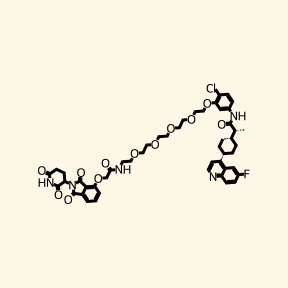 C[C@@H](C(=O)Nc1ccc(Cl)c(OCCOCCOCCOCCOCCNC(=O)COc2cccc3c2C(=O)N(C2CCC(=O)NC2=O)C3=O)c1)[C@H]1CC[C@@H](c2ccnc3ccc(F)cc32)CC1